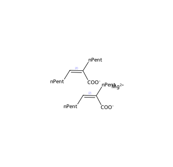 CCCCC/C=C(/CCCCC)C(=O)[O-].CCCCC/C=C(/CCCCC)C(=O)[O-].[Mg+2]